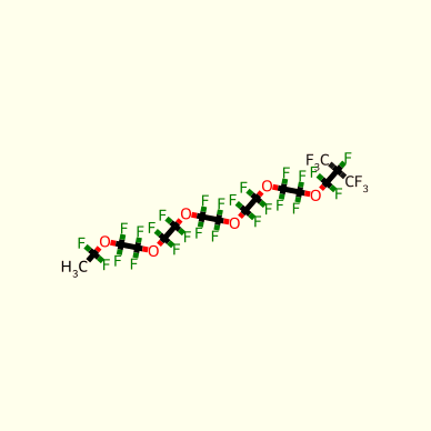 CC(F)(F)OC(F)(F)C(F)(F)OC(F)(F)C(F)(F)OC(F)(F)C(F)(F)OC(F)(F)C(F)(F)OC(F)(F)C(F)(F)OC(F)(F)C(F)(C(F)(F)F)C(F)(F)F